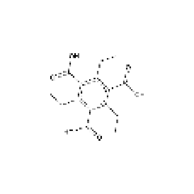 CCc1c(C(=O)O)c(CC)c(C(=O)O)c(CC)c1C(=O)O